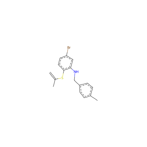 C=C(C)Sc1ccc(Br)cc1NCc1ccc(C)cc1